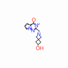 Cn1c(CN2CC3(CC(O)C3)C2)nn2cccc2c1=O